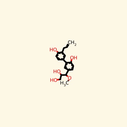 C=CCc1cc(-c2cc(C(OC)C(O)CO)ccc2O)ccc1O